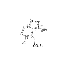 CCOC(=O)Cc1c(Cl)ccc2cnn(C(C)C)c12